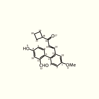 COc1ccc(-c2ccc(O)cc2C=O)c(/C=C/C(=O)C2CCC2)c1